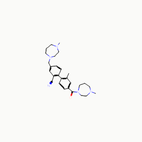 Cc1cc(C(=O)N2CCCN(C)CC2)ccc1-c1ccc(CN2CCCN(C)CC2)cc1C#N